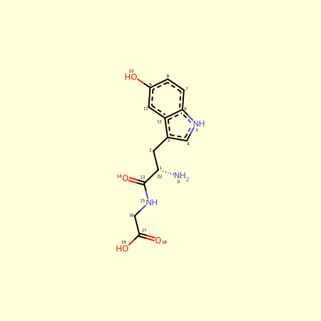 N[C@@H](Cc1c[nH]c2ccc(O)cc12)C(=O)NCC(=O)O